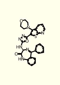 O=C1Nc2ccccc2C(c2ccccc2)=N[C@@H]1Nc1nnc(-c2sc3ncccc3c2N2CCOCC2)o1